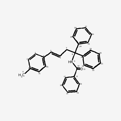 Cc1ccc(/C=C/CC(NC(=O)c2ccccc2)(c2ccccc2)c2ccccc2)cc1